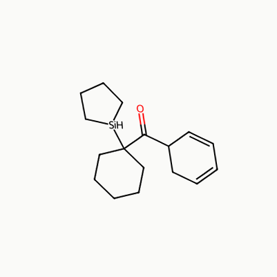 O=C(C1C=CC=CC1)C1([SiH]2CCCC2)CCCCC1